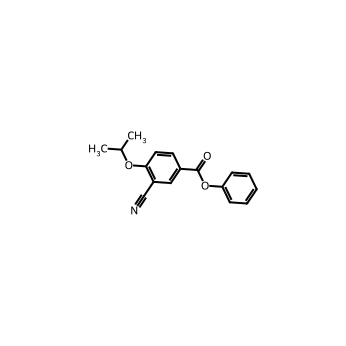 CC(C)Oc1ccc(C(=O)Oc2ccccc2)cc1C#N